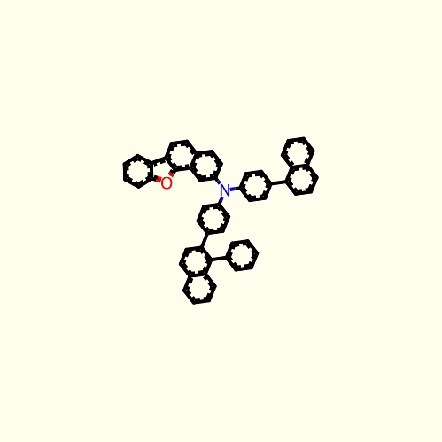 c1ccc(-c2c(-c3ccc(N(c4ccc(-c5cccc6ccccc56)cc4)c4ccc5ccc6c7ccccc7oc6c5c4)cc3)ccc3ccccc23)cc1